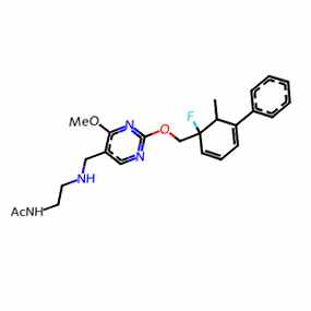 COc1nc(OCC2(F)C=CC=C(c3ccccc3)C2C)ncc1CNCCNC(C)=O